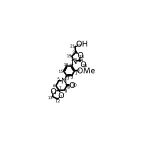 COc1cc(N2CCC3(CC2=O)OCCO3)ccc1N1CC(CO)OC1=O